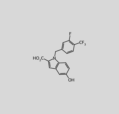 O=C(O)c1cc2cc(O)ccc2n1Cc1ccc(C(F)(F)F)c(F)c1